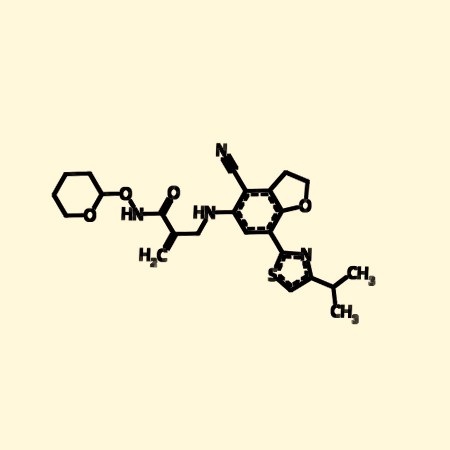 C=C(CNc1cc(-c2nc(C(C)C)cs2)c2c(c1C#N)CCO2)C(=O)NOC1CCCCO1